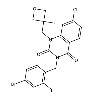 CC1(Cn2c(=O)n(Cc3ccc(Br)cc3F)c(=O)c3ccc(Cl)cc32)COC1